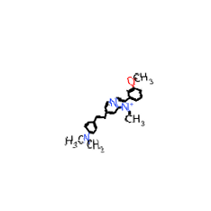 CC[n+]1c(-c2cccc(OC)c2)cn2ccc(/C=C/c3ccc(N(C)C)cc3)cc21